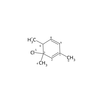 CC1=CC(C)(Cl)C(C)[C]=C1